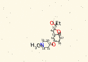 CCC(=O)c1cc2cc(OC3CCN(C)CC3)ccc2o1